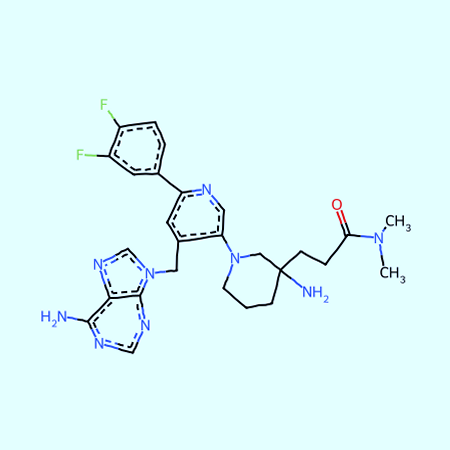 CN(C)C(=O)CCC1(N)CCCN(c2cnc(-c3ccc(F)c(F)c3)cc2Cn2cnc3c(N)ncnc32)C1